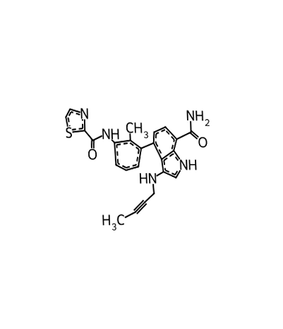 CC#CCNc1c[nH]c2c(C(N)=O)ccc(-c3cccc(NC(=O)c4nccs4)c3C)c12